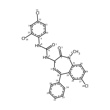 CN1C(=O)C(NC(=O)Nc2ccc(Cl)cc2Cl)N=C(c2ccccc2)c2cc(Cl)ccc21